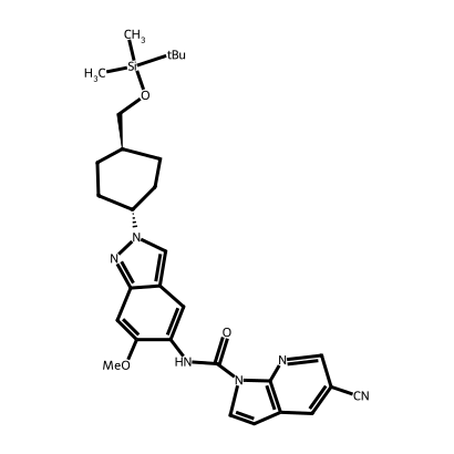 COc1cc2nn([C@H]3CC[C@H](CO[Si](C)(C)C(C)(C)C)CC3)cc2cc1NC(=O)n1ccc2cc(C#N)cnc21